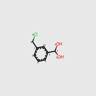 OC(O)c1cccc(CCl)c1